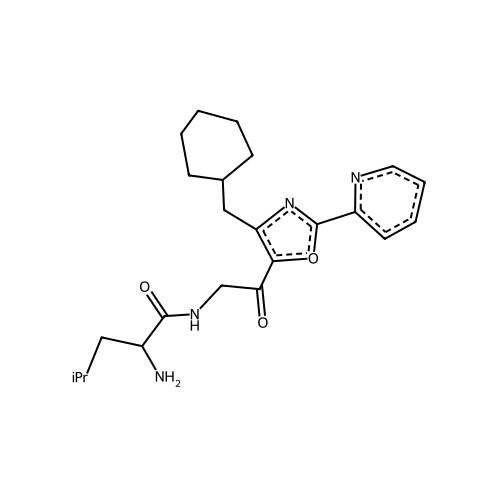 CC(C)CC(N)C(=O)NCC(=O)c1oc(-c2ccccn2)nc1CC1CCCCC1